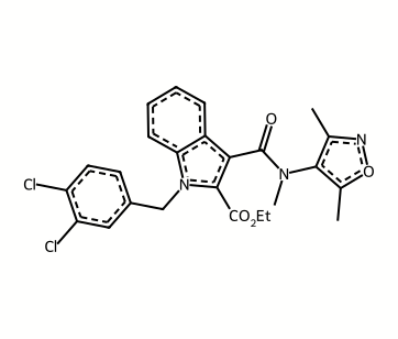 CCOC(=O)c1c(C(=O)N(C)c2c(C)noc2C)c2ccccc2n1Cc1ccc(Cl)c(Cl)c1